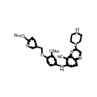 COc1ccc(COc2ccc(Nc3ccc4ncc(N5CCNCC5)nc4c3C#N)cc2OC)cn1